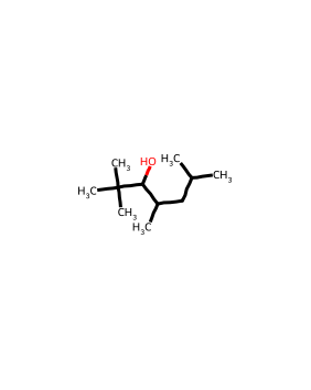 CC(C)CC(C)C(O)C(C)(C)C